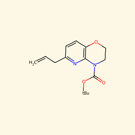 C=CCc1ccc2c(n1)N(C(=O)OC(C)(C)C)CCO2